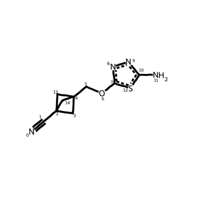 N#CC12CC(COc3nnc(N)s3)(C1)C2